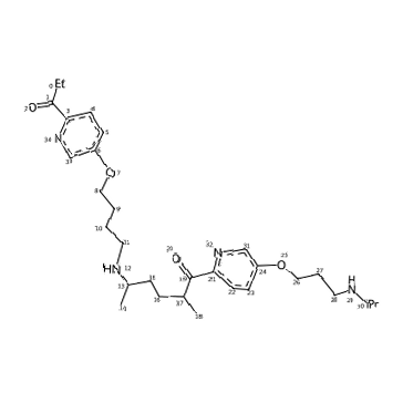 CCC(=O)c1ccc(OCCCCNC(C)CCC(C)C(=O)c2ccc(OCCCNC(C)C)cn2)cn1